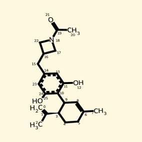 C=C(C)[C@@H]1CCC(C)=CC1c1c(O)cc(CC2CN(C(C)=O)C2)cc1O